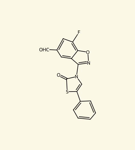 O=Cc1cc(F)c2onc(-n3cc(-c4ccccc4)sc3=O)c2c1